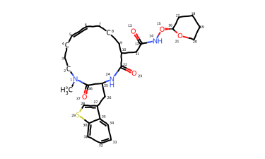 CN1CCCC=CCCCC(CC(=O)NO[C@H]2CCCCO2)C(=O)NC(Cc2csc3ccccc23)C1=O